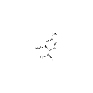 COc1ccc(C(=O)C(F)(F)F)c(OC)c1